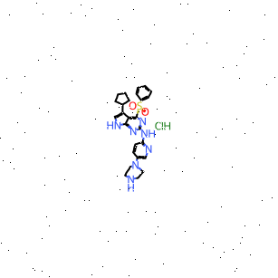 Cl.O=S(=O)(c1ccccc1)c1nc(Nc2ccc(N3CCNCC3)cn2)nc2[nH]cc(C3CCCC3)c12